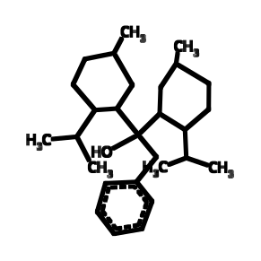 CC1CCC(C(C)C)C(C(O)(Cc2ccccc2)C2CC(C)CCC2C(C)C)C1